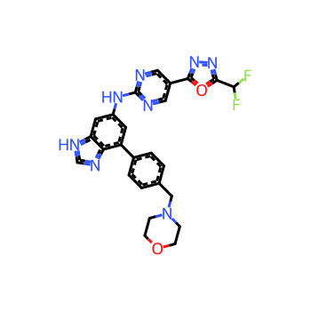 FC(F)c1nnc(-c2cnc(Nc3cc(-c4ccc(CN5CCOCC5)cc4)c4nc[nH]c4c3)nc2)o1